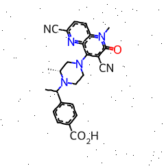 CC(c1ccc(C(=O)O)cc1)N1CCN(c2c(C#N)c(=O)n(C)c3ccc(C#N)nc23)C[C@H]1C